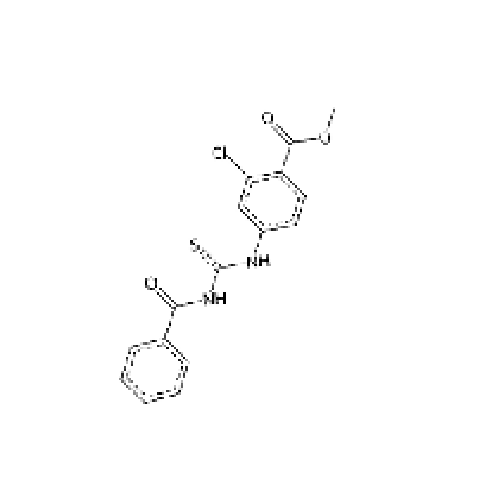 COC(=O)c1ccc(NC(=S)NC(=O)c2ccccc2)cc1Cl